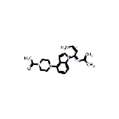 C=C(C)/N=C(\C=C/N)n1ccc2c(N3CCN(C(C)=O)CC3)cccc21